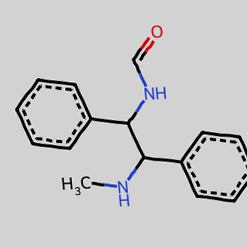 CNC(c1ccccc1)C(NC=O)c1ccccc1